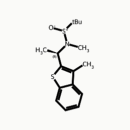 Cc1c([C@@H](C)N(C)[S+]([O-])C(C)(C)C)sc2ccccc12